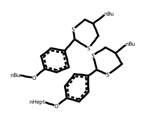 CCCCCCCOc1ccc(C2SCC(CCCC)CS2)cc1.CCCCOc1ccc(C2SCC(CCCC)CS2)cc1